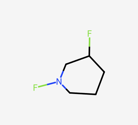 FC1CCCN(F)C1